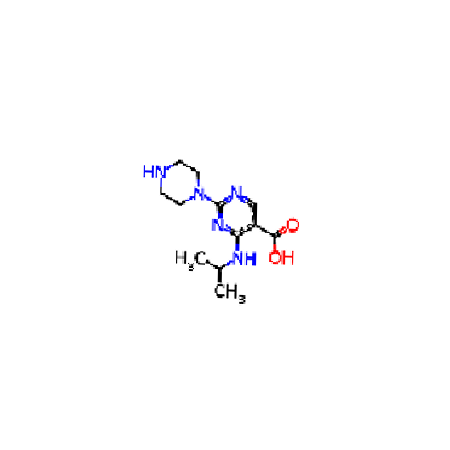 CC(C)Nc1nc(N2CCNCC2)ncc1C(=O)O